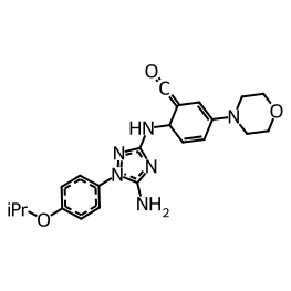 CC(C)Oc1ccc(-n2nc(NC3C=CC(N4CCOCC4)=CC3=C=O)nc2N)cc1